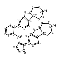 Sc1ccccc1-c1ccc2c(c1)CC1CCNCCN21.c1coc(-c2ccc3c(c2)CC2CCNCCN32)c1